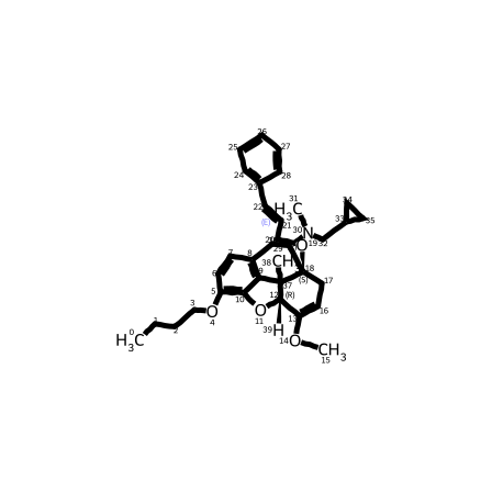 CCCCOc1ccc2c3c1O[C@H]1C(OC)=CC[C@@](OC/C=C/c4ccccc4)([C@H](N(C)CC4CC4)C2)C31C